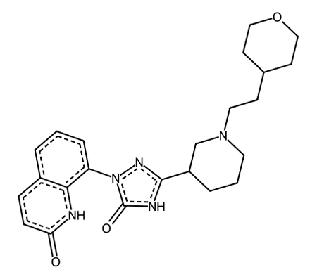 O=c1ccc2cccc(-n3nc(C4CCCN(CCC5CCOCC5)C4)[nH]c3=O)c2[nH]1